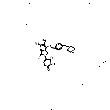 [2H]c1cc2c(c(OCc3ccc(CN4CCOCC4)cc3)c1[2H])CN(C1CCC(=O)NC1=O)C2=O